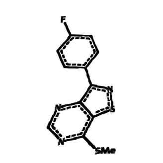 [CH2]Sc1ncnc2c(-c3ccc(F)cc3)nsc12